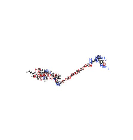 C=C/C=C/C=C(\C)[C@H](C[C@@H]1CCC[C@](O)(C(=O)C(=O)N2CCCC[C@H]2C(=O)O[C@@H](C[C@@H](OC)[C@H](C)/C=C(\C)[C@@H](O)[C@@H](O)/C(=N/OCc2cn(CCOCCOCCOCCOCCOCCOCCOCCOCCC(=O)NCCCCn3nc(-c4ccc5oc(N)nc5c4)c4c(N)ncnc43)nn2)[C@H](C)CC(C)C)[C@H](N)C[C@@H]2CC[C@@H](O)[C@H](OC)C2)O1)OC